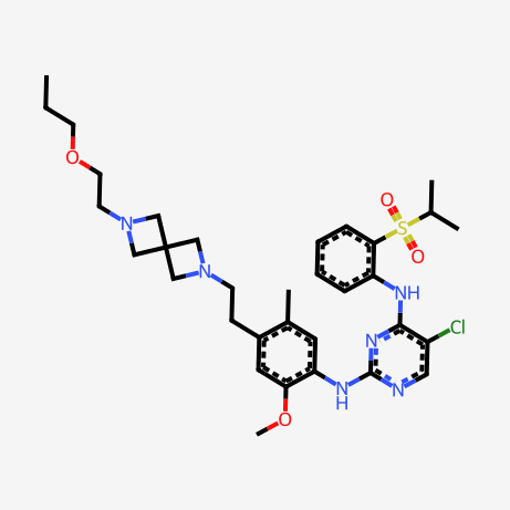 CCCOCCN1CC2(C1)CN(CCc1cc(OC)c(Nc3ncc(Cl)c(Nc4ccccc4S(=O)(=O)C(C)C)n3)cc1C)C2